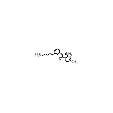 CCCCCCc1cccc(NC(=O)c2ccc(C)nc2N)c1